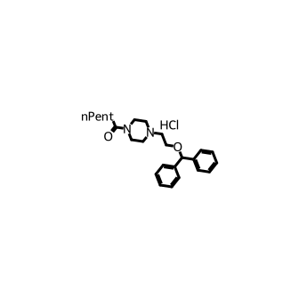 CCCCCC(=O)N1CCN(CCOC(c2ccccc2)c2ccccc2)CC1.Cl